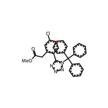 COC(=O)Cc1cc(Cl)ccc1-c1nnnn1C(c1ccccc1)(c1ccccc1)c1ccccc1